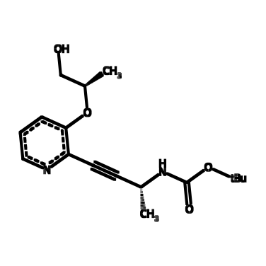 C[C@H](C#Cc1ncccc1O[C@H](C)CO)NC(=O)OC(C)(C)C